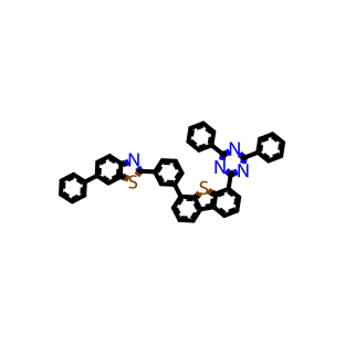 c1ccc(-c2ccc3nc(-c4cccc(-c5cccc6c5sc5c(-c7nc(-c8ccccc8)nc(-c8ccccc8)n7)cccc56)c4)sc3c2)cc1